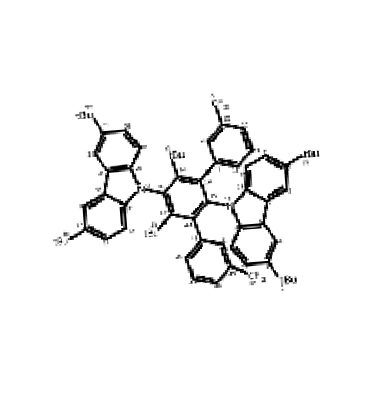 CC(C)(C)c1ccc2c(c1)c1cc(C(C)(C)C)ccc1n2-c1c(-c2cccc(C(F)(F)F)c2)c(C(C)(C)C)c(-n2c3ccc(C(C)(C)C)cc3c3cc(C(C)(C)C)ccc32)c(C(C)(C)C)c1-c1cccc(C(F)(F)F)c1